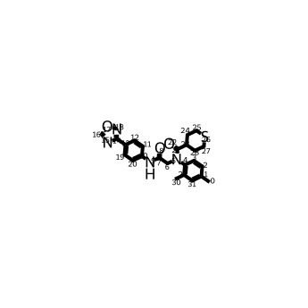 Cc1ccc(N(CC(=O)Nc2ccc(-c3ncon3)cc2)C(=O)C2CCSCC2)c(C)c1